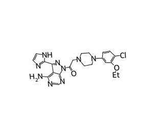 CCOc1cc(N2CCN(CC(=O)n3nc(-c4ncc[nH]4)c4c(N)ncnc43)CC2)ccc1Cl